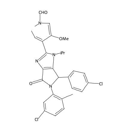 C/C=C(\C(=C/N(C)C=O)OC)c1nc2c(n1C(C)C)C(c1ccc(Cl)cc1)N(c1cc(Cl)ccc1C)C2=O